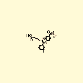 CON(C)C(=O)c1ccc2nc(-c3cccc(F)c3)c(CCCCC(=O)O)nc2c1